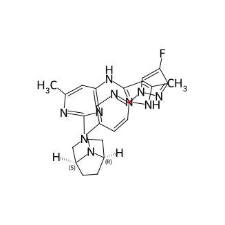 Cc1cc(Nc2cc(C)[nH]n2)nc(N2C[C@H]3CC[C@@H](C2)N3Cc2ccc(-n3cc(F)cn3)nc2)n1